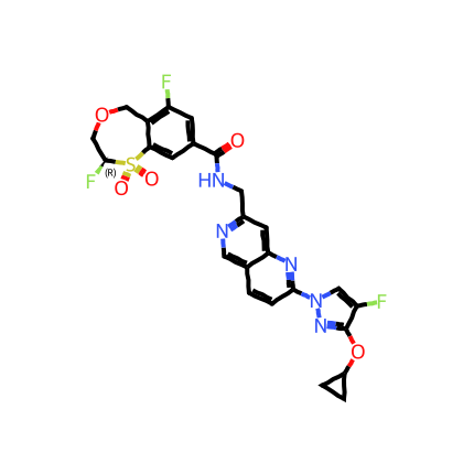 O=C(NCc1cc2nc(-n3cc(F)c(OC4CC4)n3)ccc2cn1)c1cc(F)c2c(c1)S(=O)(=O)[C@@H](F)COC2